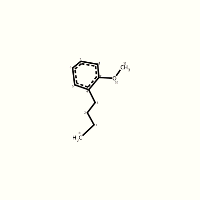 CCCCc1ccc[c]c1OC